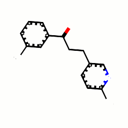 N#Cc1cccc(C(=O)CCc2ccc(C(F)(F)F)nc2)c1